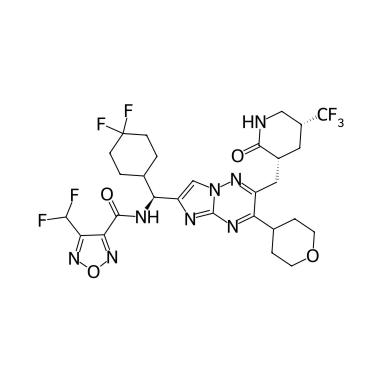 O=C(N[C@H](c1cn2nc(C[C@H]3C[C@@H](C(F)(F)F)CNC3=O)c(C3CCOCC3)nc2n1)C1CCC(F)(F)CC1)c1nonc1C(F)F